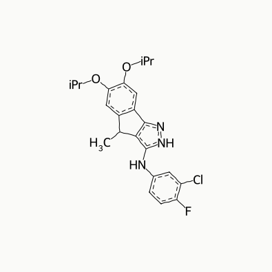 CC(C)Oc1cc2c(cc1OC(C)C)C(C)c1c-2n[nH]c1Nc1ccc(F)c(Cl)c1